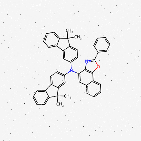 CC1(C)c2ccccc2-c2cc(N(c3ccc4c(c3)C(C)(C)c3ccccc3-4)c3cc4ccccc4c4oc(-c5ccccc5)nc34)ccc21